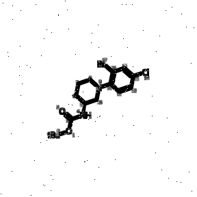 CC(C)(C)OC(=O)N[C@H]1CCCN(c2ccc(Cl)cc2Br)C1